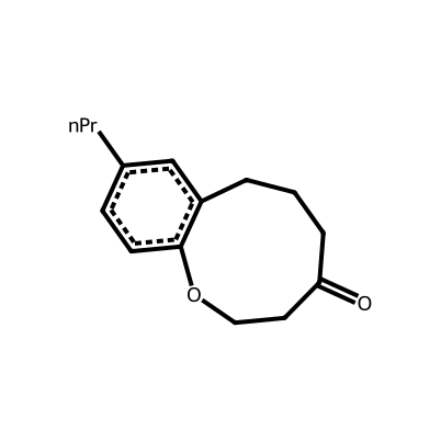 CCCc1ccc2c(c1)CCCC(=O)CCO2